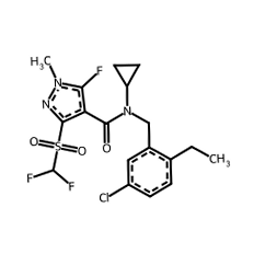 CCc1ccc(Cl)cc1CN(C(=O)c1c(S(=O)(=O)C(F)F)nn(C)c1F)C1CC1